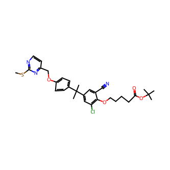 CSc1nccc(COc2ccc(C(C)(C)c3cc(Cl)c(OCCCCC(=O)OC(C)(C)C)c(C#N)c3)cc2)n1